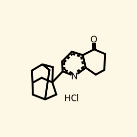 Cl.O=C1CCCc2nc(C34CC5CC(CC(C5)C3)C4)ccc21